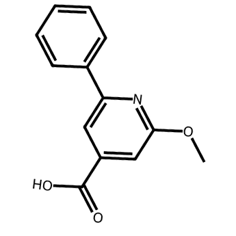 COc1cc(C(=O)O)cc(-c2ccccc2)n1